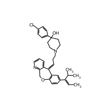 C/C=C(/c1ccc2c(c1)/C(=C/CCN1CCC(O)(c3ccc(Cl)cc3)CC1)c1cccnc1CO2)C(C)C